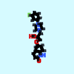 O=C1CCc2cc(OCC(O)CN3CCN(c4cccc(F)c4)CC3)ccc2N1